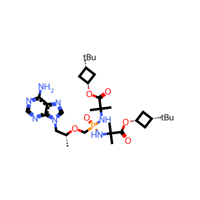 C[C@H](Cn1cnc2c(N)ncnc21)OCP(=O)(NC(C)(C)C(=O)O[C@H]1C[C@@H](C(C)(C)C)C1)NC(C)(C)C(=O)O[C@H]1C[C@@H](C(C)(C)C)C1